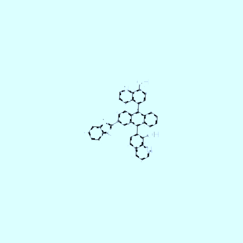 Oc1c(-c2c3ccccc3c(-c3ccc(O)c4ncccc34)c3ccc(-c4nc5ccccc5o4)cc23)ccc2cccnc12